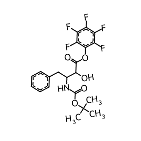 CC(C)(C)OC(=O)NC(Cc1ccccc1)C(O)C(=O)Oc1c(F)c(F)c(F)c(F)c1F